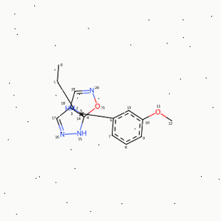 CCC1NC=C(c2cccc(OC)c2)C23NN=CC12C=NO3